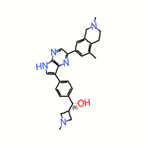 Cc1cc(-c2cnc3[nH]cc(-c4ccc([C@H](O)C5CN(C)C5)cc4)c3n2)cc2c1CCN(C)C2